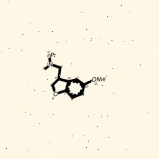 CCCN(C)CC1COc2ccc(OC)cc21